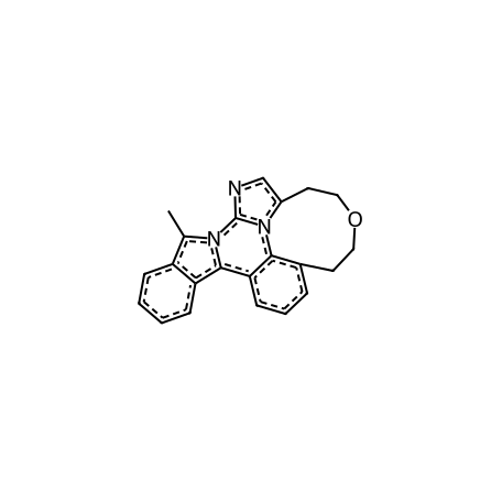 Cc1c2ccccc2c2c3cccc4c3n3c(cnc3n12)CCOCC4